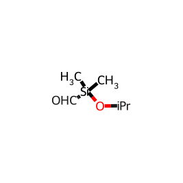 CC(C)O[Si](C)(C)C=O